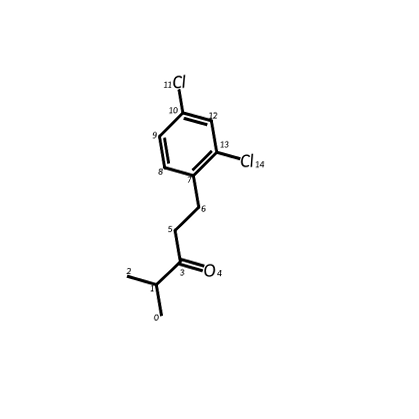 CC(C)C(=O)CCc1ccc(Cl)cc1Cl